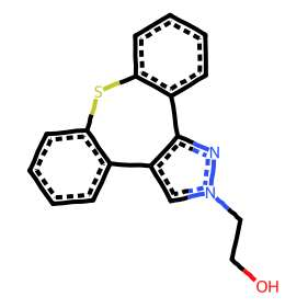 OCCn1cc2c(n1)-c1ccccc1Sc1ccccc1-2